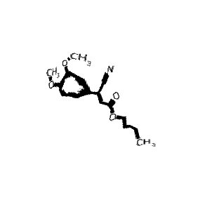 CCCCOC(=O)C=C(C#N)c1ccc(OC)c(OC)c1